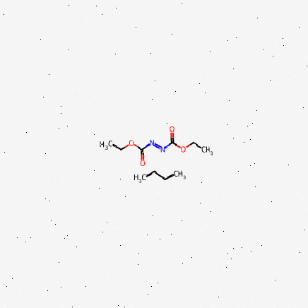 CCCC.CCOC(=O)/N=N/C(=O)OCC